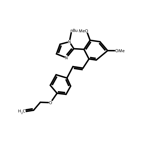 C=CCOc1ccc(C=Cc2cc(OC)cc(OC)c2-c2nccn2CCCC)cc1